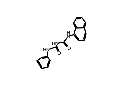 O=C(NC(=O)Nc1cccc2ccccc12)Nc1ccccc1